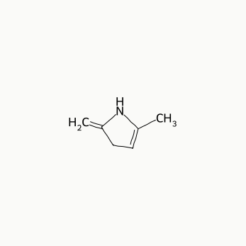 C=C1CC=C(C)N1